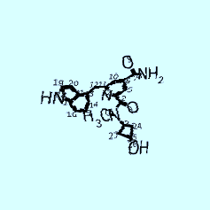 CN(C(=O)c1cc(C(N)=O)cc(Cc2cccc3[nH]ccc23)n1)C1CC(O)C1